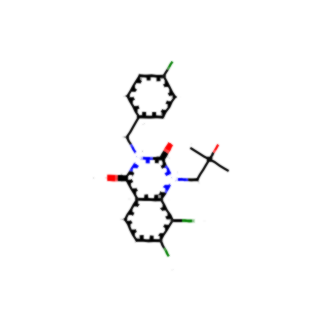 CC(C)(O)Cn1c(=O)n(Cc2ccc(Cl)cc2)c(=O)c2ccc(Cl)c(F)c21